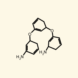 NC1=CC(OC2=CC(OC3=CC(N)CC=C3)CC=C2)CC=C1